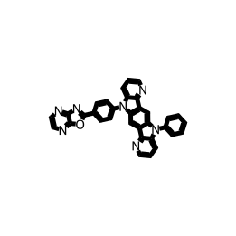 c1ccc(-n2c3cc4c5ncccc5n(-c5ccc(-c6nc7nccnc7o6)cc5)c4cc3c3ncccc32)cc1